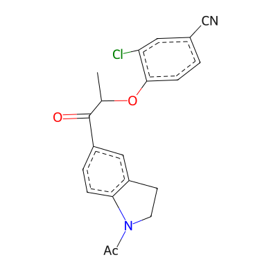 CC(=O)N1CCc2cc(C(=O)C(C)Oc3ccc(C#N)cc3Cl)ccc21